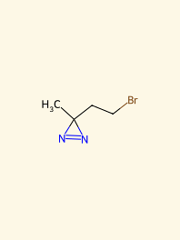 CC1(CCBr)N=N1